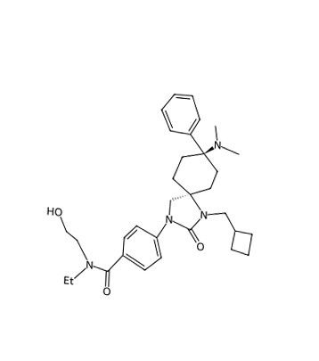 CCN(CCO)C(=O)c1ccc(N2C[C@]3(CC[C@](c4ccccc4)(N(C)C)CC3)N(CC3CCC3)C2=O)cc1